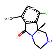 COc1ccc(Cl)c2c1C(=O)N1CCNC[C@@H]21